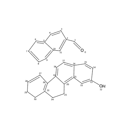 O=Cc1ccc2ccccc2c1.Oc1ccc2ccc3c(c2c1)CCC1=C3C=CCC1